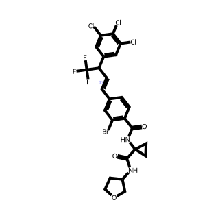 O=C(NC1(C(=O)NC2CCOC2)CC1)c1ccc(/C=C/C(c2cc(Cl)c(Cl)c(Cl)c2)C(F)(F)F)cc1Br